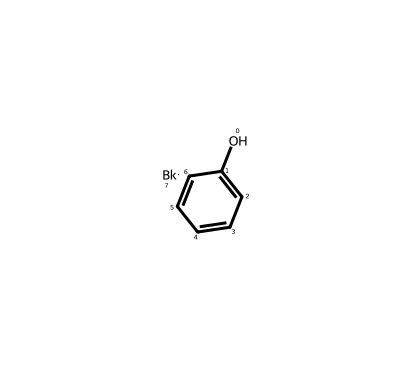 Oc1ccccc1.[Bk]